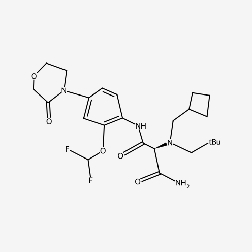 CC(C)(C)CN(CC1CCC1)[C@@H](C(N)=O)C(=O)Nc1ccc(N2CCOCC2=O)cc1OC(F)F